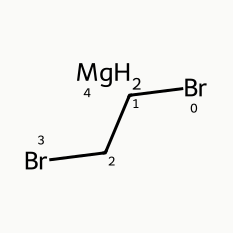 BrCCBr.[MgH2]